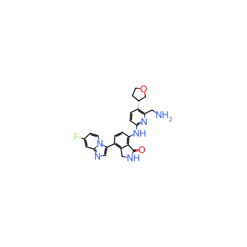 NCc1nc(Nc2ccc(-c3cnc4cc(F)ccn34)c3c2C(=O)NC3)ccc1[C@@H]1CCOC1